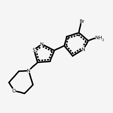 Nc1ncc(-c2cc(N3CCOCC3)sn2)cc1Br